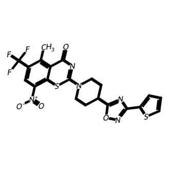 Cc1c(C(F)(F)F)cc([N+](=O)[O-])c2sc(N3CCC(c4nc(-c5cccs5)no4)CC3)nc(=O)c12